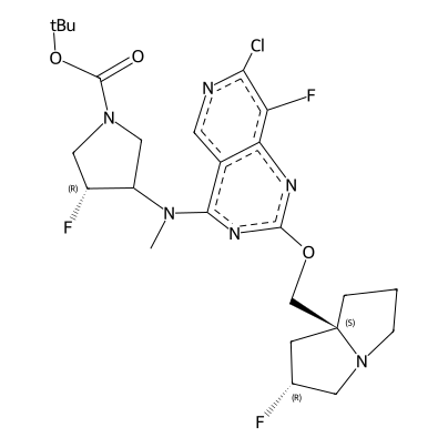 CN(c1nc(OC[C@@]23CCCN2C[C@H](F)C3)nc2c(F)c(Cl)ncc12)C1CN(C(=O)OC(C)(C)C)C[C@H]1F